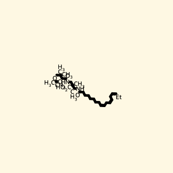 CC/C=C\C/C=C\C/C=C\CCCCCCCC(=O)NC(C)C(C)(CNC(=O)C1OC(C)(C)OCC1(C)C)C(=O)O